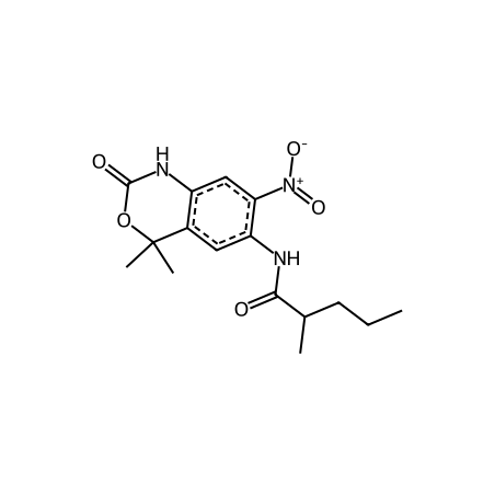 CCCC(C)C(=O)Nc1cc2c(cc1[N+](=O)[O-])NC(=O)OC2(C)C